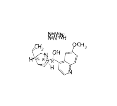 C=C[C@@H]1CN2CCC1C[C@@H]2[C@H](O)c1ccnc2ccc(OC)cc12.[N-]=[N+]=N.[N-]=[N+]=[N-]